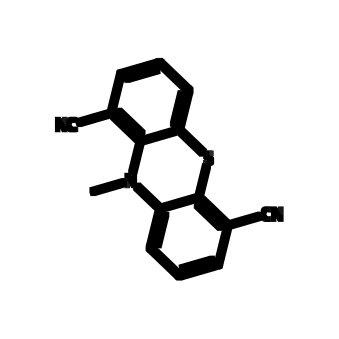 CN1c2cccc(C#N)c2Sc2cccc(C#N)c21